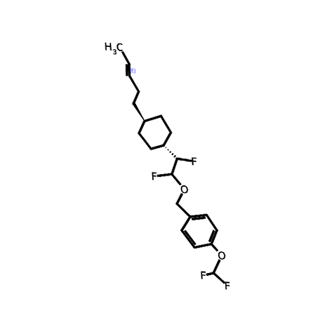 C/C=C/CC[C@H]1CC[C@H](C(F)C(F)OCc2ccc(OC(F)F)cc2)CC1